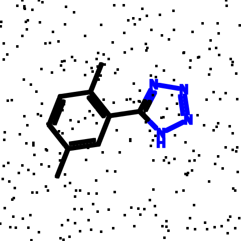 Cc1ccc(C)c(-c2nnn[nH]2)c1